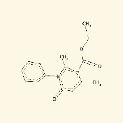 CCOC(=O)c1c(C)cc(=O)n(-c2ccccc2)c1C